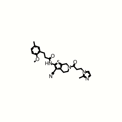 COc1ccc(C)cc1CCC(=O)Nc1sc2c(c1C#N)CCN(C(=O)CCn1ccnc1C)C2